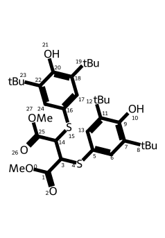 COC(=O)C(Sc1cc(C(C)(C)C)c(O)c(C(C)(C)C)c1)C(Sc1cc(C(C)(C)C)c(O)c(C(C)(C)C)c1)C(=O)OC